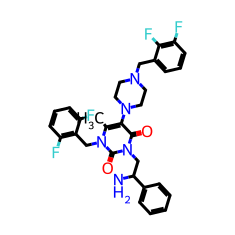 Cc1c(N2CCN(Cc3cccc(F)c3F)CC2)c(=O)n(CC(N)c2ccccc2)c(=O)n1Cc1c(F)cccc1F